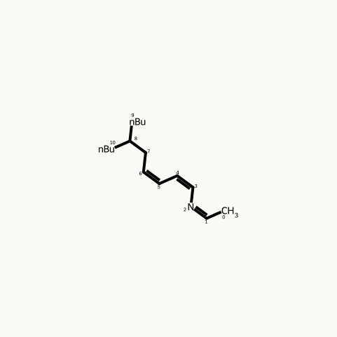 C\C=N/C=C\C=C/CC(CCCC)CCCC